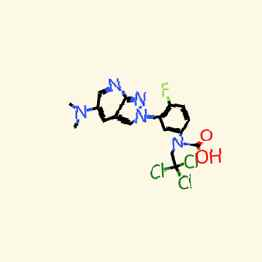 CN(C)c1cnc2nn(-c3cc(N(CC(Cl)(Cl)Cl)C(=O)O)ccc3F)cc2c1